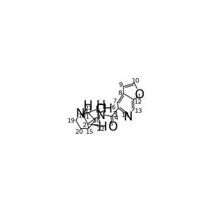 C[C@@H]1[C@H](NC(=O)c2cc3ccoc3cn2)C2CCN1CC2